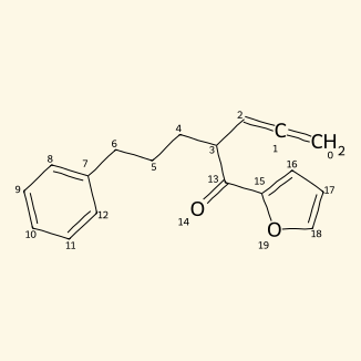 C=C=CC(CCCc1ccccc1)C(=O)c1ccco1